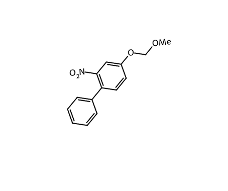 COCOc1ccc(-c2ccccc2)c([N+](=O)[O-])c1